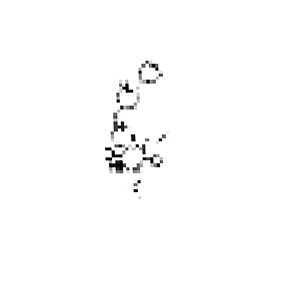 CCCCN1C(=O)[C@H](CC(C)C)NC(=O)C12CCN(Cc1ccc(-c3ccccc3)nc1)CC2